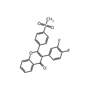 CS(=O)(=O)c1ccc(-c2oc3ccccc3c(=O)c2-c2ccc(F)c(F)c2)cc1